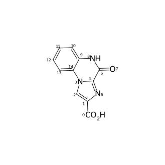 O=C(O)c1cn2c(n1)c(=O)[nH]c1ccccc12